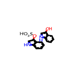 O=S(=O)(O)Oc1c[nH]c2ccccc12.Oc1c[nH]c2ccccc12